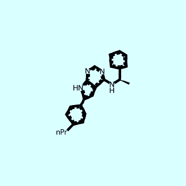 CCCc1ccc(-c2cc3c(N[C@H](C)c4ccccc4)ncnc3[nH]2)cc1